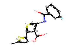 Cc1ccc(-c2scc(NC(=O)c3cccc(F)c3)c2C(=O)O)s1